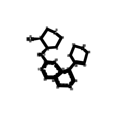 N[C@H]1CCCC[C@H]1Nc1ncc2cncc(C3=CCOCC3)c2n1